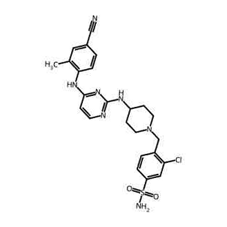 Cc1cc(C#N)ccc1Nc1ccnc(NC2CCN(Cc3ccc(S(N)(=O)=O)cc3Cl)CC2)n1